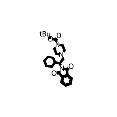 CC(C)(C)OC(=O)N1CCN(CC(C2CCCCC2)N2C(=O)c3ccccc3C2=O)CC1